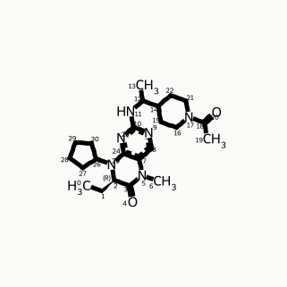 CC[C@@H]1C(=O)N(C)c2cnc(NC(C)C3CCN(C(C)=O)CC3)nc2N1C1CCCC1